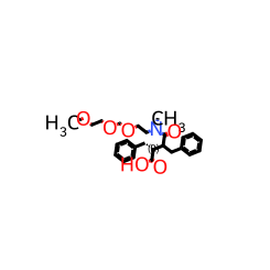 COCCOCOCCN(C)C(=O)C(Cc1ccccc1)[C@@H](Cc1ccccc1)C(=O)O